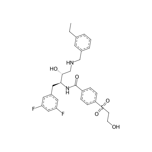 CCc1cccc(CNC[C@@H](O)[C@H](Cc2cc(F)cc(F)c2)NC(=O)c2ccc(S(=O)(=O)CCO)cc2)c1